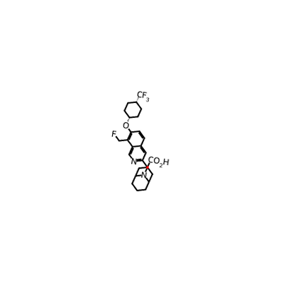 O=C(O)C1CC2CCCC(C1)N2Cc1cc2ccc(O[C@H]3CC[C@@H](C(F)(F)F)CC3)c(CF)c2cn1